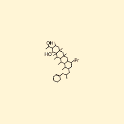 CC(CC1=CCCCC1)CC1CC(C(C)C)C2CC3(C)CC4(C)CC(C)C(C(C)O)C(O)C4(C)C(C)C3C(C)C2C1C